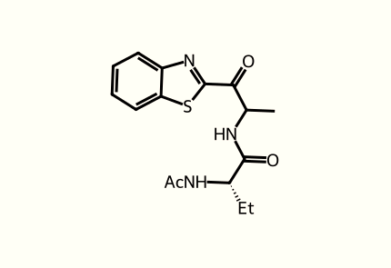 CC[C@H](NC(C)=O)C(=O)NC(C)C(=O)c1nc2ccccc2s1